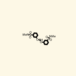 CNS(=O)(=O)c1cccc(OBOc2cccc(S(=O)(=O)NC)c2)c1